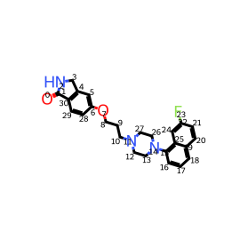 O=C1NCc2cc(OCCCN3CCN(c4cccc5ccc(F)cc45)CC3)ccc21